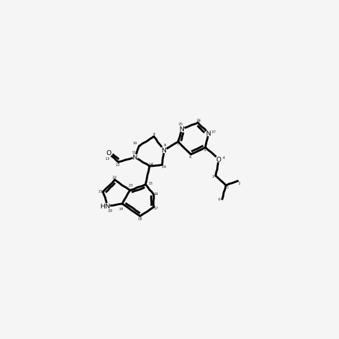 CC(C)COc1cc(N2CCN(C=O)C(c3cccc4[nH]ccc34)C2)ncn1